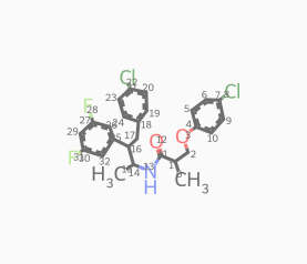 CC(COc1ccc(Cl)cc1)C(=O)NC(C)C(Cc1ccc(Cl)cc1)c1cc(F)cc(F)c1